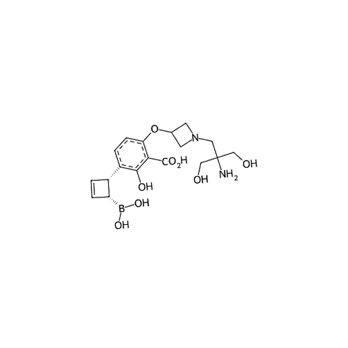 NC(CO)(CO)CN1CC(Oc2ccc([C@H]3C=C[C@H]3B(O)O)c(O)c2C(=O)O)C1